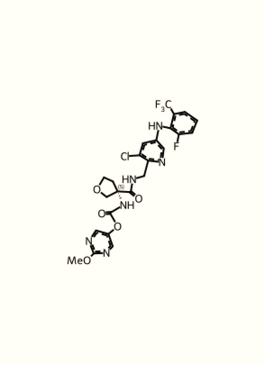 COc1ncc(OC(=O)N[C@@]2(C(=O)NCc3ncc(Nc4c(F)cccc4C(F)(F)F)cc3Cl)CCOC2)cn1